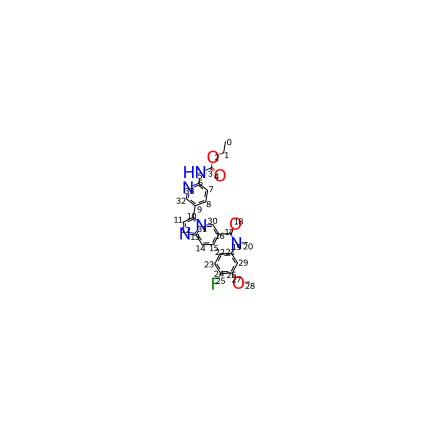 CCOC(=O)Nc1ccc(-c2cnc3ccc(C(=O)N(C)c4ccc(F)c(OC)c4)cn23)cn1